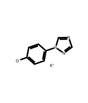 [K+].[O-]c1ccc(-n2cncn2)cc1